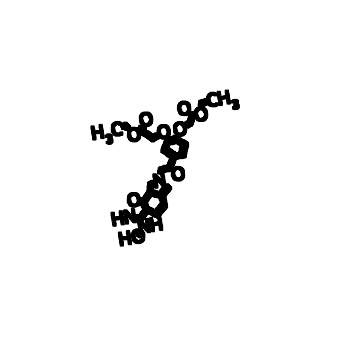 CCOC(=O)COc1ccc(C(=O)CN2C=C3C=CC(C(=N)NO)C(=O)C3C2)cc1OCC(=O)OCC